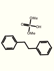 COP(=O)(O)OC.c1ccc(CCc2ccccc2)cc1